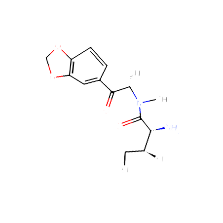 CC[C@H](C)[C@H](N)C(=O)N(C)[C@@H](C)C(=O)c1ccc2c(c1)OCO2